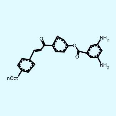 CCCCCCCCc1ccc(C=CC(=O)c2ccc(OC(=O)c3cc(N)cc(N)c3)cc2)cc1